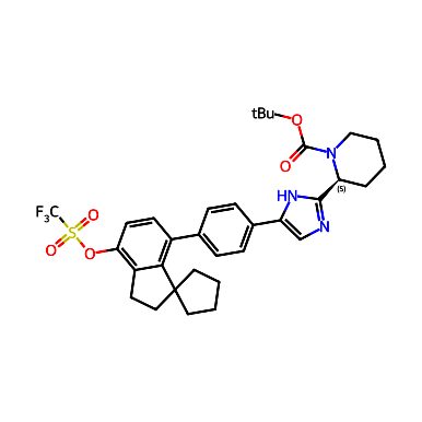 CC(C)(C)OC(=O)N1CCCC[C@H]1c1ncc(-c2ccc(-c3ccc(OS(=O)(=O)C(F)(F)F)c4c3C3(CCCC3)CC4)cc2)[nH]1